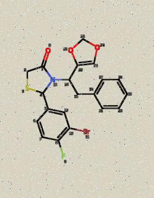 O=C1CSC(c2ccc(F)c(Br)c2)N1C(Cc1ccccc1)C1=COCO1